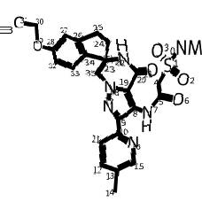 CNS(=O)(=O)CC(=O)Nc1c(-c2ccc(C)cn2)nn2c1C(=O)N[C@]1(CCc3cc(OCC(F)(F)F)ccc31)C2